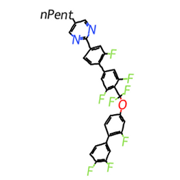 CCCCCc1cnc(-c2ccc(-c3cc(F)c(C(F)(F)Oc4ccc(-c5ccc(F)c(F)c5)c(F)c4)c(F)c3)c(F)c2)nc1